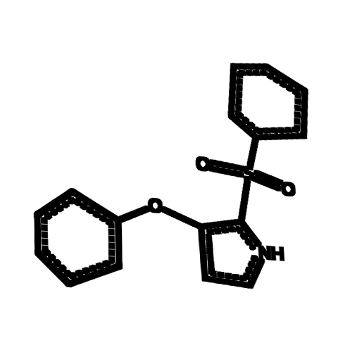 O=S(=O)(c1ccccc1)c1[nH]ccc1Oc1ccccc1